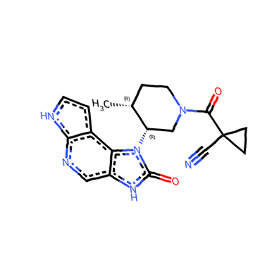 C[C@@H]1CCN(C(=O)C2(C#N)CC2)C[C@@H]1n1c(=O)[nH]c2cnc3[nH]ccc3c21